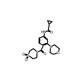 O=C(Nc1ccc(C(=O)N2CCS(=O)(=O)CC2)c(N2CCOCC2)c1)C1CC1